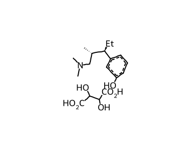 CC[C@@H](c1cccc(O)c1)[C@@H](C)CN(C)C.O=C(O)C(O)C(O)C(=O)O